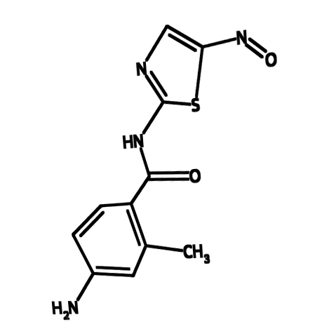 Cc1cc(N)ccc1C(=O)Nc1ncc(N=O)s1